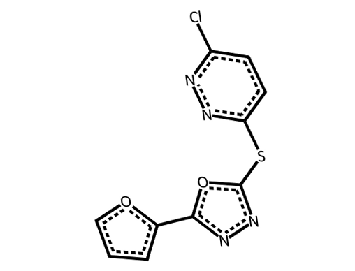 Clc1ccc(Sc2nnc(-c3ccco3)o2)nn1